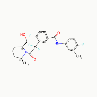 Cc1cc(NC(=O)c2ccc(F)c(C(F)(F)C(=O)N3[C@H](CO)CCC[C@@H]3C)c2)ccc1F